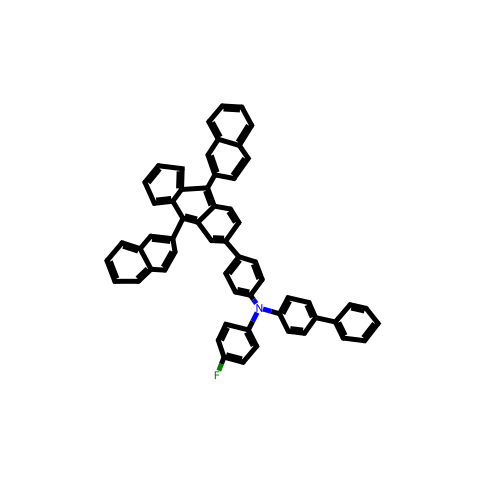 Fc1ccc(N(c2ccc(-c3ccccc3)cc2)c2ccc(-c3ccc4c(-c5ccc6ccccc6c5)c5ccccc5c(-c5ccc6ccccc6c5)c4c3)cc2)cc1